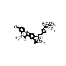 CNC(=O)c1c2cc(C3CC3)c(N(CCC3CN(C(=O)OC(C)(C)C)C3)S(C)(=O)=O)cc2nn1-c1ccc(Cl)cc1